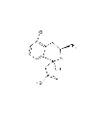 C[C@@H]1Cc2c(Cl)cccc2C(O)(CC(=O)O)O1